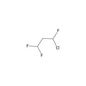 FC(F)CC(F)Cl